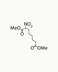 COC(=O)CCCCCC(C(=O)OC)[N+](=O)[O-]